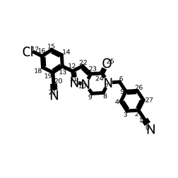 N#Cc1ccc(CN2CCn3nc(-c4ccc(Cl)cc4C#N)cc3C2=O)cc1